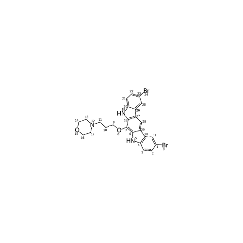 Brc1ccc2[nH]c3c(OCCCN4CCOCC4)c4[nH]c5ccc(Br)cc5c4cc3c2c1